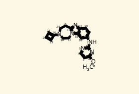 COc1ccnc(Nc2ccc3nc4n(c3c2)CCN(C2=CC=C2)CC4)n1